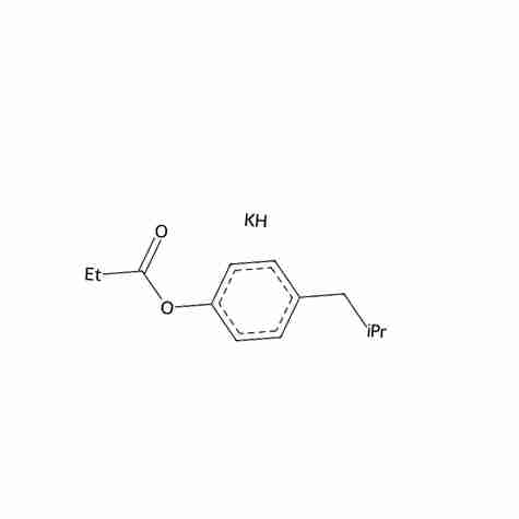 CCC(=O)Oc1ccc(CC(C)C)cc1.[KH]